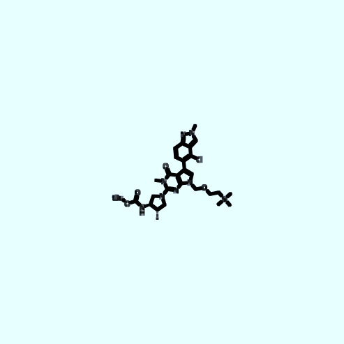 C[C@H]1CN(c2nc3c(c(-c4ccc5nn(C)cc5c4Cl)cn3COCC[Si](C)(C)C)c(=O)n2C)C[C@@H]1NC(=O)OC(C)(C)C